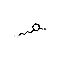 C=CCCCc1cccc(CCCC)c1